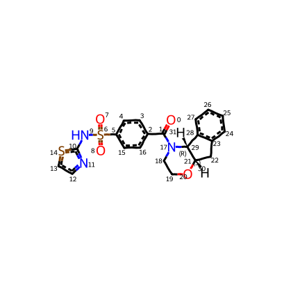 O=C(c1ccc(S(=O)(=O)Nc2nccs2)cc1)N1CCO[C@H]2Cc3ccccc3[C@H]21